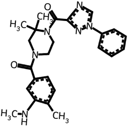 CNc1cc(C(=O)N2CCN(C(=O)c3ncn(-c4ccccc4)n3)C(C)(C)C2)ccc1C